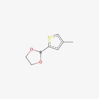 Cc1csc(B2OCCO2)c1